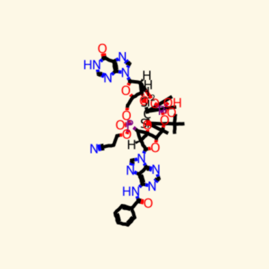 CC1(C)C[Si](C)(C(C)(C)C)OC23C4COP(=O)(O)O[C@H]5C(n6cnc7c(=O)[nH]cnc76)OC(COP(=O)(OCCC#N)C2[C@H]3C(n2cnc3c(NC(=O)c6ccccc6)ncnc32)O4)[C@H]5O[SiH2]1